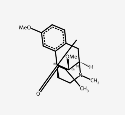 COc1ccc2c(c1)[C@]13CCN(C)[C@H](C2)[C@]1(OC)C(C)CC(=O)C3